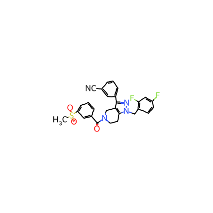 CS(=O)(=O)c1cccc(C(=O)N2CCc3c(c(-c4cccc(C#N)c4)nn3Cc3ccc(F)cc3F)C2)c1